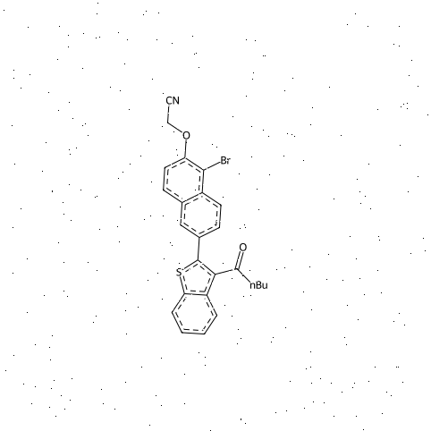 CCCCC(=O)c1c(-c2ccc3c(Br)c(OCC#N)ccc3c2)sc2ccccc12